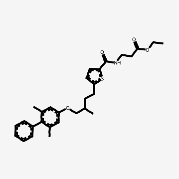 CCOC(=O)CCNC(=O)c1ccc(CCC(C)COc2cc(C)c(-c3ccccc3)c(C)c2)s1